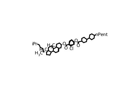 CCCCCC1CCC(C2CCC(C(=O)Oc3ccc(C(=O)O[C@H]4CC[C@@]5(C)C(=CCC6C5CC[C@@]5(C)C6CC[C@@H]5C(C)CCCC(C)C)C4)c(Cl)c3)CC2)CC1